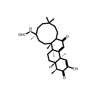 C[C@@H]1C(=O)C(C#N)=C[C@]2(C)C3=CC(=O)C4CCC(C)(C)CC[C@](C)(NC=O)CC[C@@]4(C)[C@]3(C)CC[C@@H]12